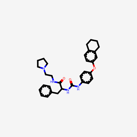 O=C(Nc1ccc(Oc2ccc3c(c2)CCCC3)cc1)NC(Cc1ccccc1)C(=O)NCCN1CCCC1